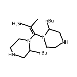 CCCCC1CNCCN1C(=C(C)[SiH3])N1CCNCC1CCCC